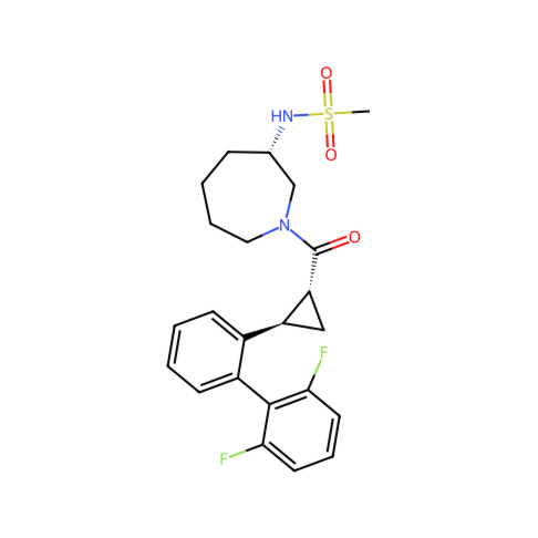 CS(=O)(=O)N[C@H]1CCCCN(C(=O)[C@@H]2C[C@H]2c2ccccc2-c2c(F)cccc2F)C1